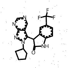 O=C1Nc2ccc(C(F)(F)F)cc2C1c1c2cncnc2nn1C1CCCC1